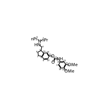 CCCN(CCC)NCC1CCc2ccc(OC(=O)Nc3ccc(OC)c(OC)c3)cc21